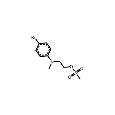 CN(CCOS(C)(=O)=O)c1ccc(Br)cc1